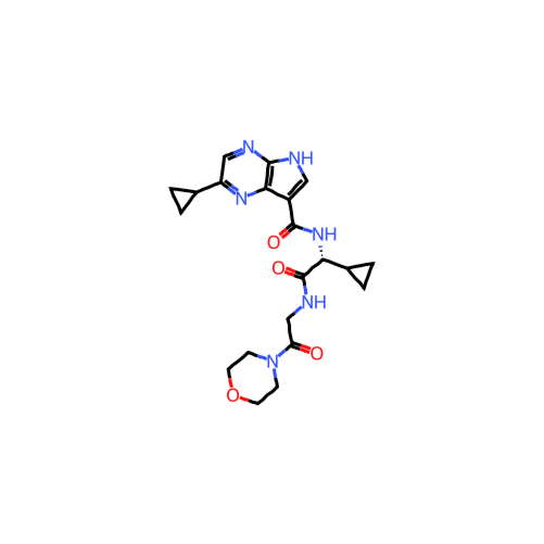 O=C(N[C@@H](C(=O)NCC(=O)N1CCOCC1)C1CC1)c1c[nH]c2ncc(C3CC3)nc12